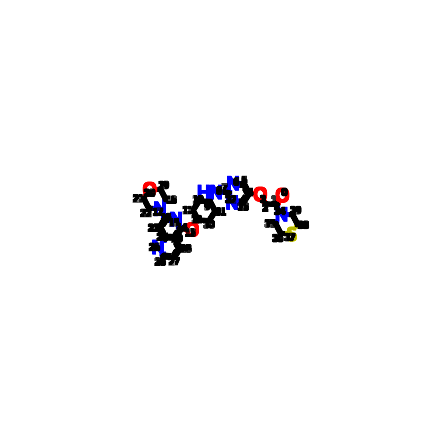 O=C(COc1cnc(N[C@H]2CC[C@@H](Oc3nc(N4CCOCC4)cc4ncccc34)CC2)nc1)N1CCSCC1